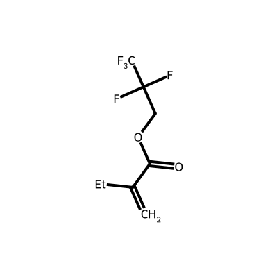 C=C(CC)C(=O)OCC(F)(F)C(F)(F)F